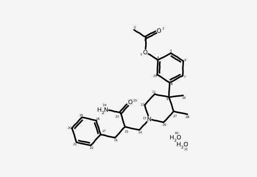 CC(=O)Oc1cccc(C2(C)CCN(CC(Cc3ccccc3)C(N)=O)CC2C)c1.O.O